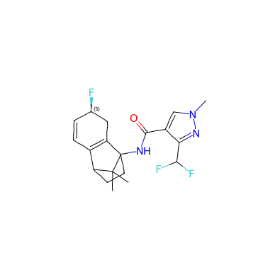 Cn1cc(C(=O)NC23CCC(C4=C2C[C@H](F)C=C4)C3(C)C)c(C(F)F)n1